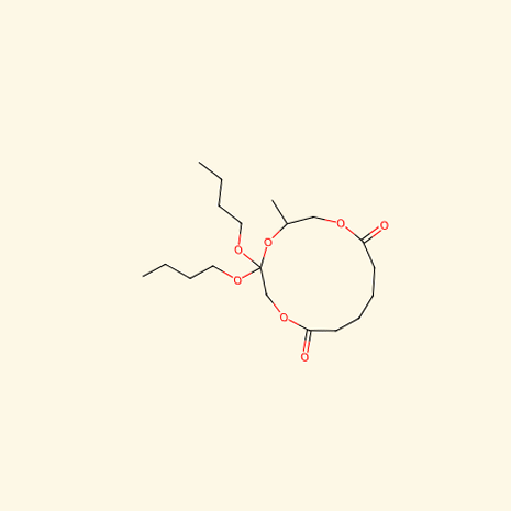 CCCCOC1(OCCCC)COC(=O)CCCCC(=O)OCC(C)O1